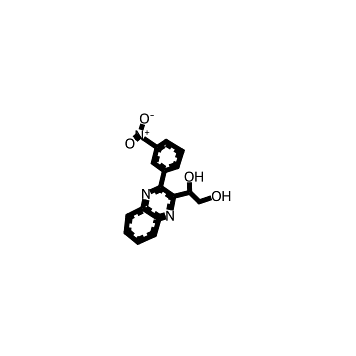 O=[N+]([O-])c1cccc(-c2nc3ccccc3nc2C(O)CO)c1